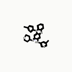 Cc1ccc(-n2c3c/c(=N\C4CCOCC4)c(Nc4cncc(C)c4)cc-3nc3ccccc32)cc1